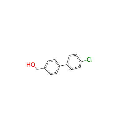 OCc1ccc(-c2[c]cc(Cl)cc2)cc1